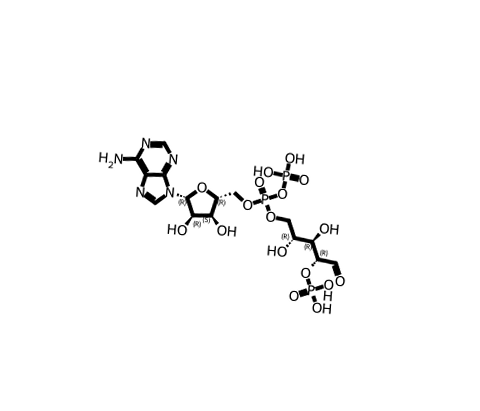 Nc1ncnc2c1ncn2[C@@H]1O[C@H](COP(=O)(OC[C@@H](O)[C@@H](O)[C@H](C=O)OP(=O)(O)O)OP(=O)(O)O)[C@@H](O)[C@H]1O